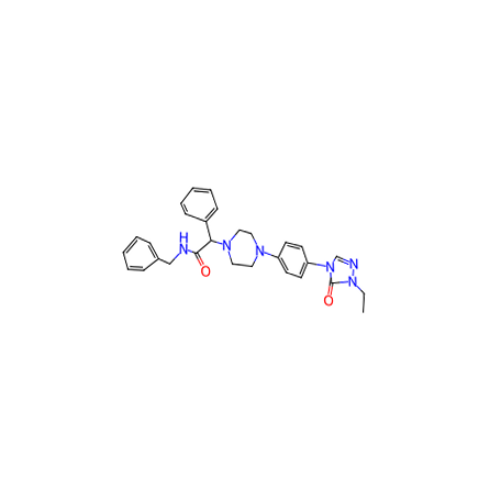 CCn1ncn(-c2ccc(N3CCN(C(C(=O)NCc4ccccc4)c4ccccc4)CC3)cc2)c1=O